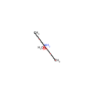 CC(=O)O.CCCCCCCCCCCCCCCCCCC=CC(N)CCCCCCCCCCCCCCCCCC